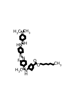 CCCCCCCOC(=O)c1ccc(NN(C)c2ccc(/N=N/c3ccc(NNc4ccc(N(C)C)cc4)cc3)c(F)c2)cc1